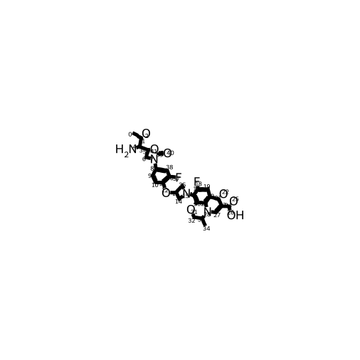 CC(=O)C(N)C1CN(c2ccc(OC3CN(c4c(F)cc5c(=O)c(C(=O)O)cn6c5c4OCC6C)C3)c(F)c2)C(=O)O1